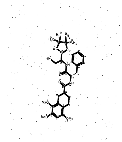 COc1cc(OC)c(OC)c2c1CCC(C(=O)N[C@@H](Cc1ccccc1)C(=O)NC(CC(C)C)B1OC(C)(C)C(C)(C)O1)C2